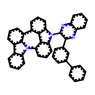 c1ccc(-c2cccc(-c3nc4ccccc4nc3-n3c4cccc5c6cccc7c8ccccc8n(c8cccc3c8c54)c67)c2)cc1